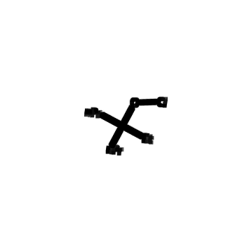 CCCC(CC)(CCC)OCl